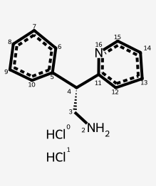 Cl.Cl.NC[C@H](c1ccccc1)c1ccccn1